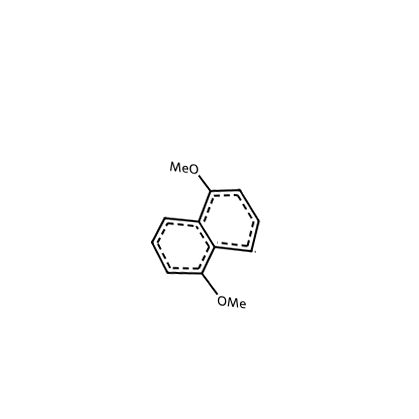 COc1cccc2c(OC)cc[c]c12